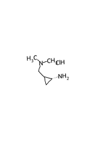 CN(C)CC1C[C@H]1N.Cl